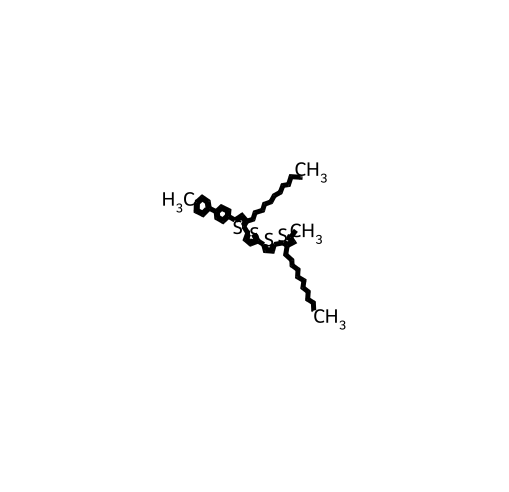 CCCCCCCCCCCCc1cc(C)sc1-c1ccc(-c2ccc(-c3sc(-c4ccc(-c5ccc(C)cc5)cc4)cc3CCCCCCCCCCCC)s2)s1